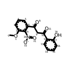 COc1cccc(C(=O)CC(=O)c2ccccc2O)c1[N+](=O)[O-]